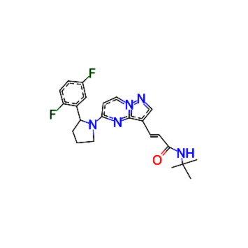 CC(C)(C)NC(=O)/C=C/c1cnn2ccc(N3CCCC3c3cc(F)ccc3F)nc12